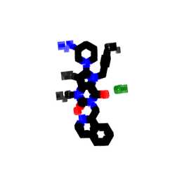 CC#CCn1c(N2CCC[C@H](N)C2)c(C#N)c2c1c(=O)n(Cc1nccc3ccccc13)c(=O)n2C.Cl